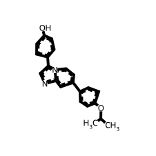 CC(C)Oc1ccc(-c2ccn3c(-c4ccc(O)cc4)cnc3c2)cc1